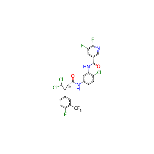 O=C(Nc1cc(NC(=O)[C@@H]2C(c3ccc(F)c(C(F)(F)F)c3)C2(Cl)Cl)ccc1Cl)c1cnc(F)c(F)c1